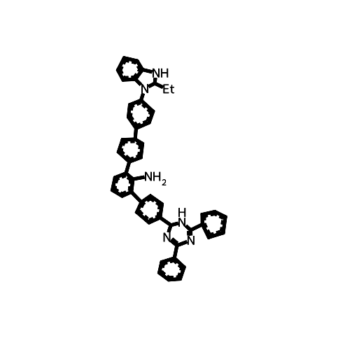 CCC1Nc2ccccc2N1c1ccc(-c2ccc(-c3cccc(-c4ccc(C5N=C(c6ccccc6)N=C(c6ccccc6)N5)cc4)c3N)cc2)cc1